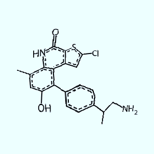 Cc1cc(O)c(-c2ccc(C(C)CN)cc2)c2c1[nH]c(=O)c1sc(Cl)cc12